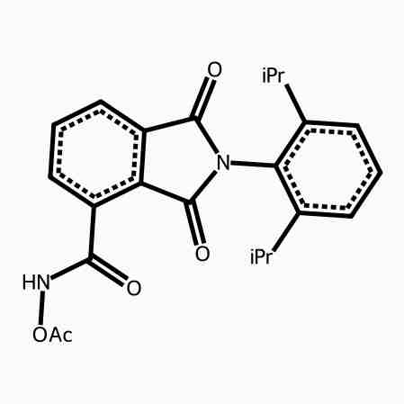 CC(=O)ONC(=O)c1cccc2c1C(=O)N(c1c(C(C)C)cccc1C(C)C)C2=O